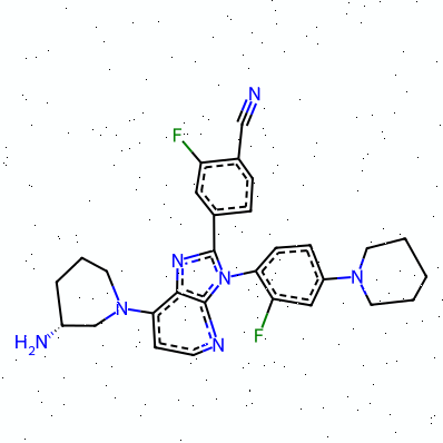 N#Cc1ccc(-c2nc3c(N4CCC[C@@H](N)C4)ccnc3n2-c2ccc(N3CCCCC3)cc2F)cc1F